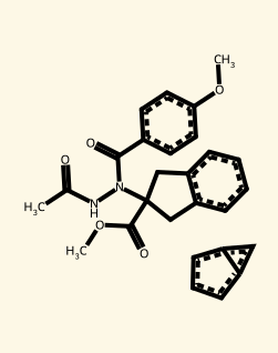 COC(=O)C1(N(NC(C)=O)C(=O)c2ccc(OC)cc2)Cc2ccccc2C1.c1cc2cc-2c1